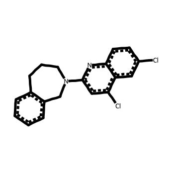 Clc1ccc2nc(N3CCCc4ccccc4C3)cc(Cl)c2c1